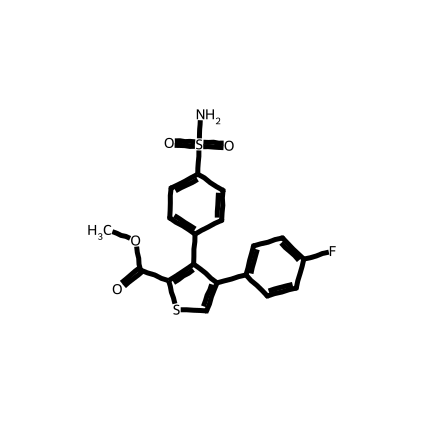 COC(=O)c1scc(-c2ccc(F)cc2)c1-c1ccc(S(N)(=O)=O)cc1